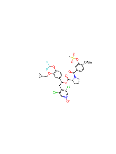 COc1ccc(C(=O)N2CCC[C@H]2C(=O)O[C@@H](Cc2c(Cl)c[n+]([O-])cc2Cl)c2ccc(OC(F)F)c(OCC3CC3)c2)cc1OS(C)(=O)=O